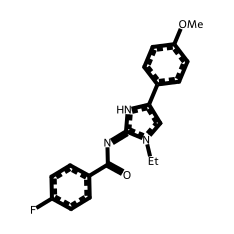 CCn1cc(-c2ccc(OC)cc2)[nH]/c1=N/C(=O)c1ccc(F)cc1